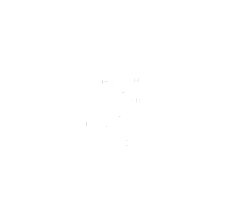 CCC=C(C)CO[Si](C)(C)C(C)(C)C